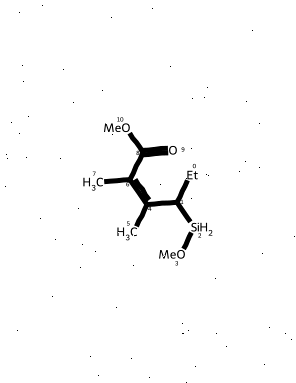 CCC([SiH2]OC)C(C)=C(C)C(=O)OC